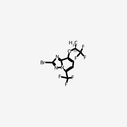 C[C@H](Oc1ccc(C(F)(F)F)n2nc(Br)nc12)C(F)(F)F